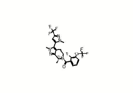 C[C@H]1c2nn(C)c(-c3cc(C(F)(F)F)nn3C)c2CCN1C(=O)c1cccc(OC(F)(F)F)c1F